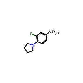 O=C(O)c1ccc(N2CCCC2)c(F)c1